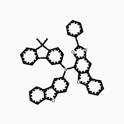 CC1(C)c2ccccc2-c2cc(N(c3ccc4oc5ccccc5c4c3)c3c4oc(-c5ccccc5)nc4cc4c3oc3ccccc34)ccc21